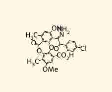 COc1cc(C(=O)O)c2c(c1C)OC(=O)c1c(C)cc(O)c(/C(=N\N)C(=O)c3ccc(Cl)cc3)c1O2